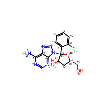 Nc1ncnc2c1ncn2[C@]1(c2ccccc2Cl)O[C@H](CO)C[C@H]1O